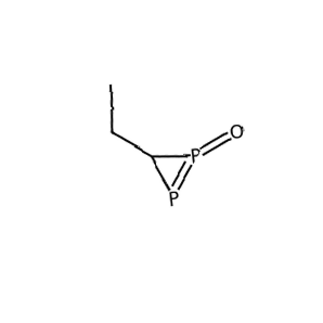 CCC1P=P1=O